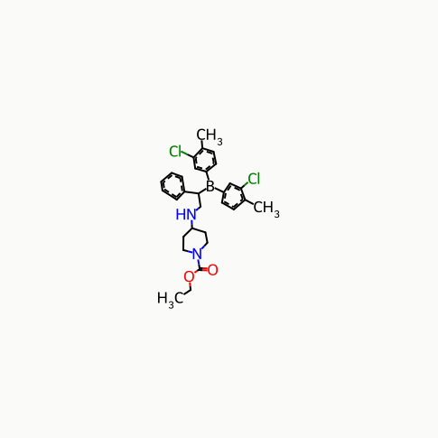 CCOC(=O)N1CCC(NCC(B(c2ccc(C)c(Cl)c2)c2ccc(C)c(Cl)c2)c2ccccc2)CC1